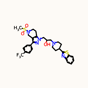 CS(=O)(=O)N1CCc2c(c(-c3ccc(C(F)(F)F)cc3)nn2CC(O)CN2CCC(c3nc4ccccc4s3)CC2)C1